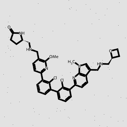 COc1nc(-c2cccc(-c3cccc(-c4ccc5c(CNC[C@@H]6CCO6)cn(C)c5n4)c3Cl)c2Cl)ccc1CNC[C@@H]1CCC(=O)N1